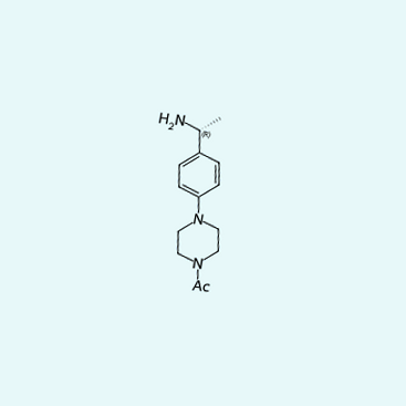 CC(=O)N1CCN(c2ccc([C@@H](C)N)cc2)CC1